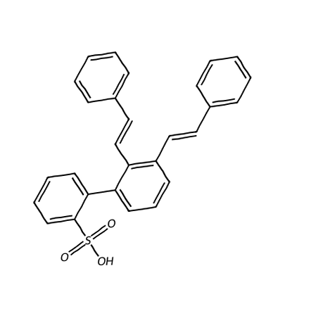 O=S(=O)(O)c1ccccc1-c1cccc(C=Cc2ccccc2)c1C=Cc1ccccc1